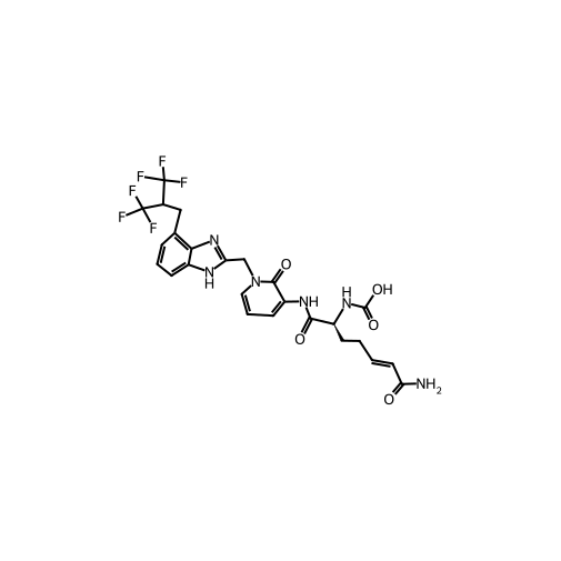 NC(=O)/C=C/CC[C@H](NC(=O)O)C(=O)Nc1cccn(Cc2nc3c(CC(C(F)(F)F)C(F)(F)F)cccc3[nH]2)c1=O